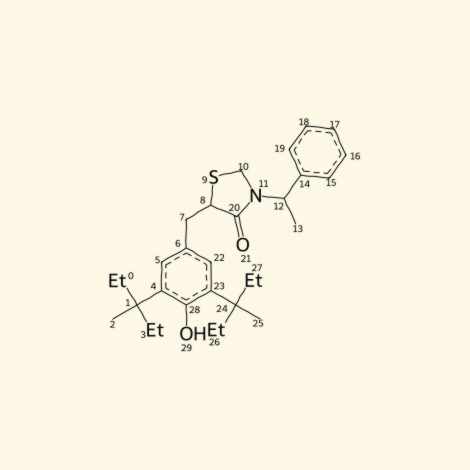 CCC(C)(CC)c1cc(CC2SCN(C(C)c3ccccc3)C2=O)cc(C(C)(CC)CC)c1O